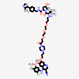 COc1cc(Nc2c(C#N)cnc3cc(OCCCN4CCN(C(=O)CCOCCOCCOCCCN[C@H](C(=O)N5C[C@H](O)C[C@H]5C(=O)NCc5ccc(-c6scnc6C)cc5)C(C)(C)C)CC4)c(OC)cc23)c(Cl)cc1Cl